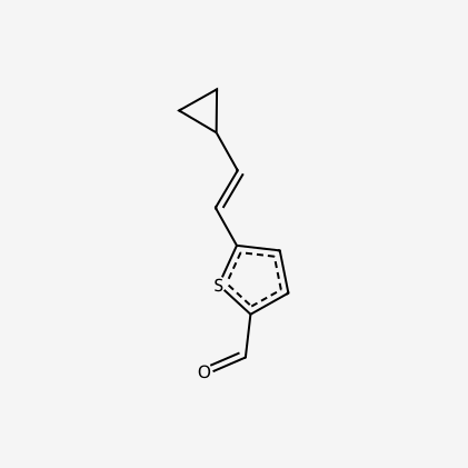 O=Cc1ccc(C=CC2CC2)s1